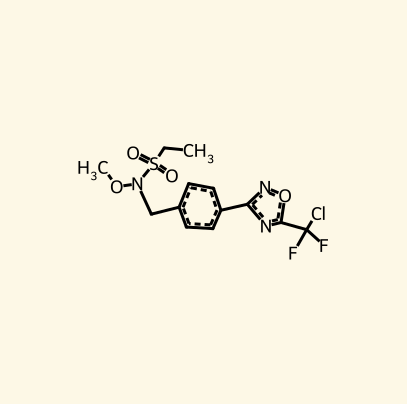 CCS(=O)(=O)N(Cc1ccc(-c2noc(C(F)(F)Cl)n2)cc1)OC